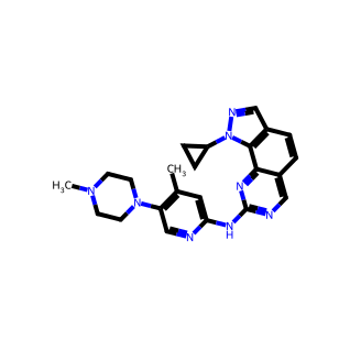 Cc1cc(Nc2ncc3ccc4cnn(C5CC5)c4c3n2)ncc1N1CCN(C)CC1